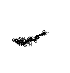 C[C@]12C=CC(=O)C=C1CC[C@H]1[C@@H]3C[C@@H](O)[C@](O)(C(=O)COC(=O)NC(COC(=O)c4ccc(CCCO[N+](=O)[O-])cc4)C(=O)O)[C@@]3(C)C[C@H](O)[C@@]12F